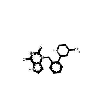 O=c1[nH]c(=S)n(Cc2ccccc2C2CC(C(F)(F)F)CCN2)c2cc[nH]c12